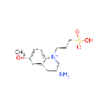 COc1ccc2c(ccc[n+]2CCCS(=O)(=O)O)c1.N